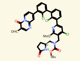 COc1nc(-c2cccc(-c3cccc(-c4ccn5c(=O)c(C=O)cnc5c4)c3Cl)c2Cl)cc(Cl)c1CN(C[C@@H]1CCC(=O)N1)C(=O)OC(C)(C)C